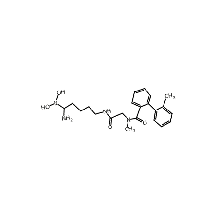 Cc1ccccc1-c1ccccc1C(=O)N(C)CC(=O)NCCCCC(N)B(O)O